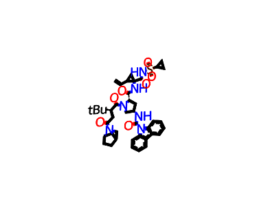 C=CC1CC1(NC(=O)[C@@H]1C[C@@H](NC(=O)n2c3ccccc3c3ccccc32)CN1C(=O)[C@@H](CC(=O)N1CC2CCC1C2)C(C)(C)C)C(=O)NS(=O)(=O)C1CC1